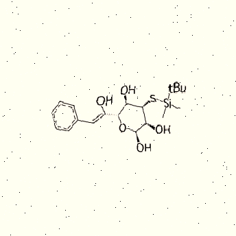 CC(C)(C)[Si](C)(C)S[C@H]1[C@@H](O)[C@@H](O)O[C@H](C(O)=Cc2ccccc2)[C@H]1O